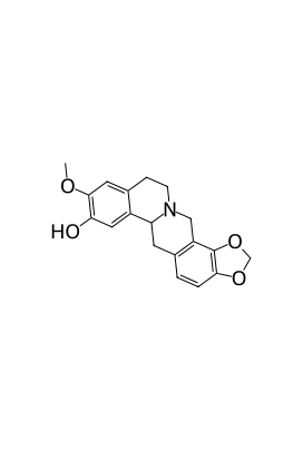 COc1cc2c(cc1O)C1Cc3ccc4c(c3CN1CC2)OCO4